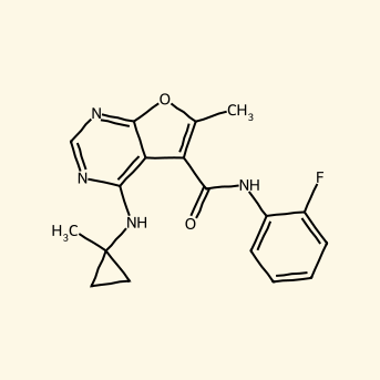 Cc1oc2ncnc(NC3(C)CC3)c2c1C(=O)Nc1ccccc1F